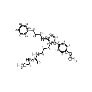 CCNC(=O)NCCCn1c(-c2ccc(OC)cc2)cs/c1=N\CCCc1ccccc1